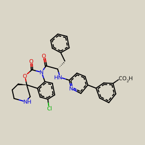 O=C(O)c1cccc(-c2ccc(N[C@@H](Cc3ccccc3)C(=O)N3C(=O)O[C@]4(CCCNC4)c4cc(Cl)ccc43)nc2)c1